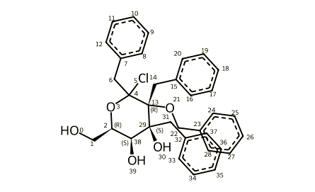 OC[C@H]1OC(Cl)(Cc2ccccc2)[C@](Cc2ccccc2)(OCc2ccccc2)[C@](O)(Cc2ccccc2)[C@H]1O